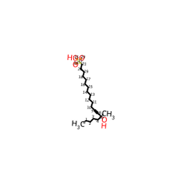 CCCCC[C@](C)(O)C#CCCCCCCCCCCCCS(=O)(=O)O